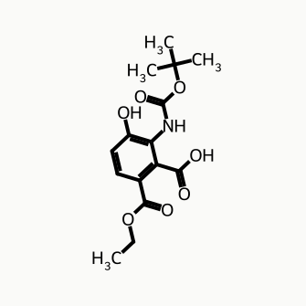 CCOC(=O)c1ccc(O)c(NC(=O)OC(C)(C)C)c1C(=O)O